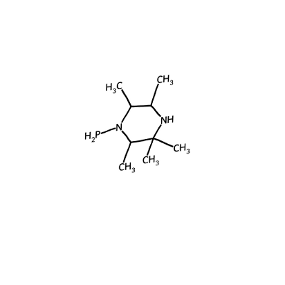 CC1NC(C)(C)C(C)N(P)C1C